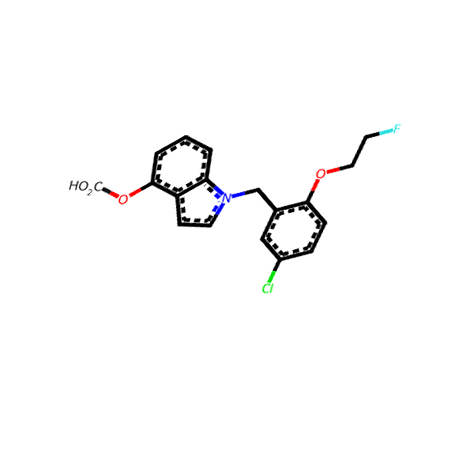 O=C(O)Oc1cccc2c1ccn2Cc1cc(Cl)ccc1OCCF